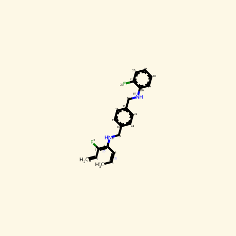 C=C/C(F)=C(\C=C/C)NCc1ccc(CNc2ccccc2F)cc1